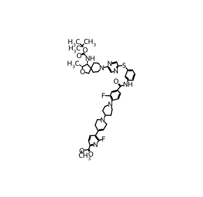 COC(=O)c1ccc(C2=CCN(C3CCN(c4ccc(C(=O)Nc5cccc(Sc6cnc(N7CCC8(CC7)CO[C@@H](C)[C@H]8NC(=O)OC(C)(C)C)cn6)c5)cc4F)CC3)CC2)c(F)n1